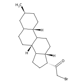 C[C@H]1CC[C@H]2C(CC[C@@H]3C2CC[C@H]2C3CC[C@H]2C(=O)CBr)C1